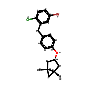 Clc1ccc(Br)cc1Cc1ccc(O[C@@H]2C[C@@H]3C[C@@H]3C2)cc1